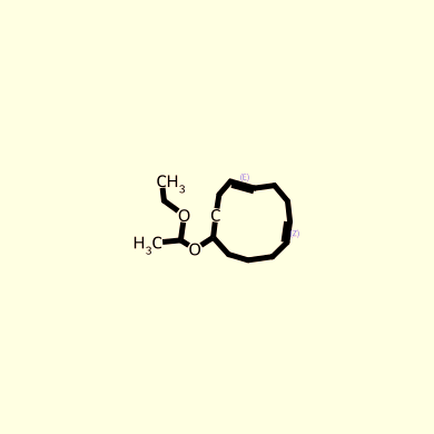 CCOC(C)OC1CC/C=C/CC/C=C\CCC1